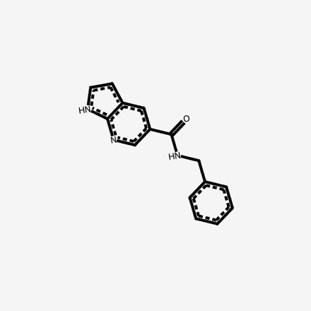 O=C(NCc1ccccc1)c1cnc2[nH]ccc2c1